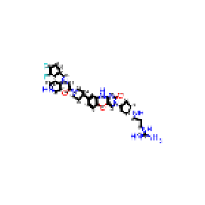 N=C(N)NCCCN[C@H]1CC[C@H](n2cc3c(nc2=O)Nc2cc(C4CCN(C(=O)CN(Cc5ccc(F)c(F)c5)C5CCNCC5)CC4)ccc2O3)CC1